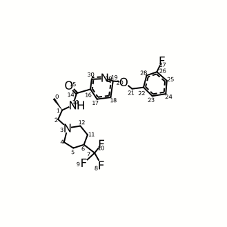 C[C@H](CN1CCC(C(F)(F)F)CC1)NC(=O)c1ccc(OCc2cccc(F)c2)nc1